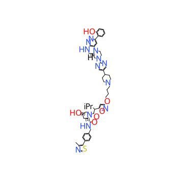 Cc1ncsc1-c1ccc(CNC(=O)[C@@H]2C[C@@H](O)CN2C(=O)C(c2cc(OCCCCN3CCC(c4cnc(N5CCN6c7cc(-c8ccccc8O)nnc7NC[C@H]6C5)nc4)CC3)no2)C(C)C)cc1